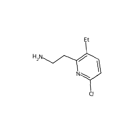 CCc1ccc(Cl)nc1CCN